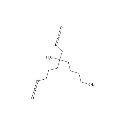 CCCCCC(C)(CCCN=C=O)CN=C=O